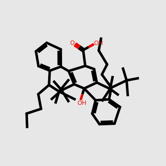 CCCCC(c1ccccc1C1=C(C(C)(C)C)C(O)(c2ccccc2C(CCCC)C(C)(C)C)C(C(C)(C)C)=CC1C(=O)O)C(C)(C)C